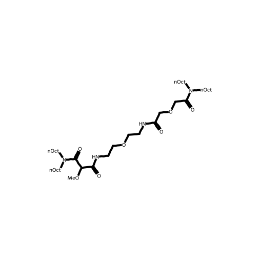 CCCCCCCCN(CCCCCCCC)C(=O)COCC(=O)NCCOCCNC(=O)C(OC)C(=O)N(CCCCCCCC)CCCCCCCC